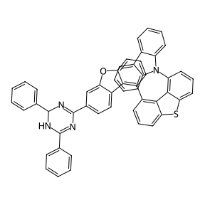 c1ccc(C2=NC(c3ccc4c(c3)oc3cccc(-c5cccc6sc7cccc(-n8c9ccccc9c9ccccc98)c7c56)c34)=NC(c3ccccc3)N2)cc1